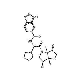 O=C(N[C@H](C(=O)N1CC(Cl)[C@H]2OCC(=O)[C@H]21)C1CCCC1)c1ccc2nn[nH]c2c1